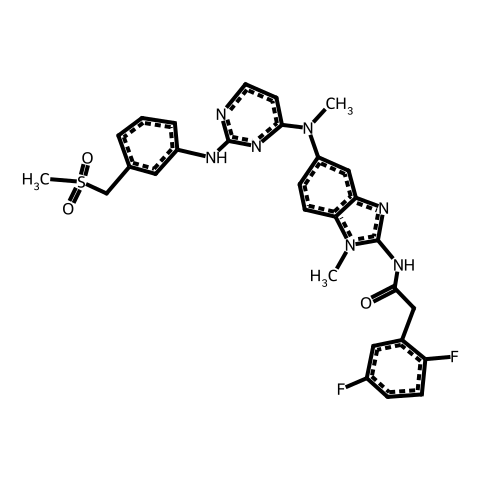 CN(c1ccc2c(c1)nc(NC(=O)Cc1cc(F)ccc1F)n2C)c1ccnc(Nc2cccc(CS(C)(=O)=O)c2)n1